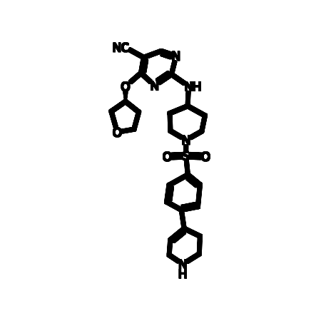 N#Cc1cnc(NC2CCN(S(=O)(=O)c3ccc(C4=CCNCC4)cc3)CC2)nc1O[C@H]1CCOC1